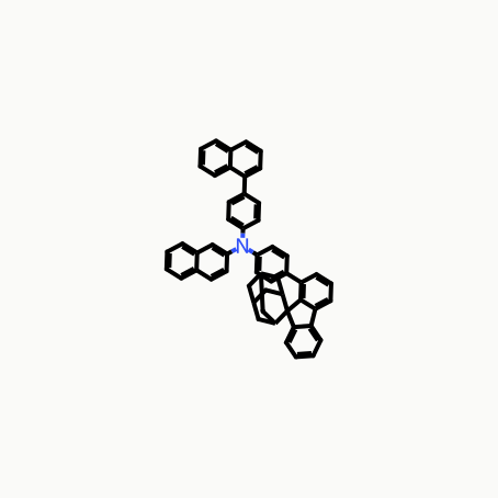 c1ccc2c(c1)-c1cccc(-c3ccc(N(c4ccc(-c5cccc6ccccc56)cc4)c4ccc5ccccc5c4)cc3)c1C21C2CC3CC(C2)CC1C3